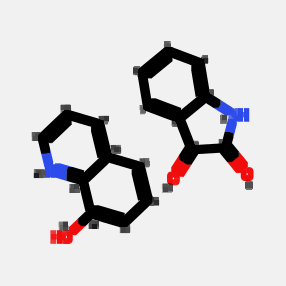 O=C1Nc2ccccc2C1=O.Oc1cccc2cccnc12